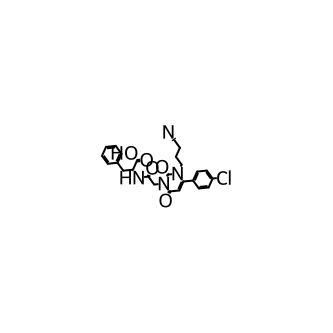 N#CCCCn1c(-c2ccc(Cl)cc2)cc(=O)n(CC(=O)NC(Cc2ccccc2)C(=O)O)c1=O